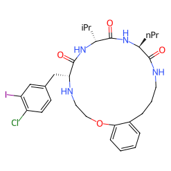 CCC[C@@H]1NC(=O)[C@@H](C(C)C)NC(=O)[C@@H](Cc2ccc(Cl)c(I)c2)NCCOc2ccccc2CCCNC1=O